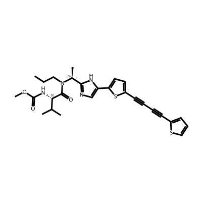 CCCN(C(=O)[C@@H](NC(=O)OC)C(C)C)[C@@H](C)c1ncc(-c2ccc(C#CC#Cc3cccs3)s2)[nH]1